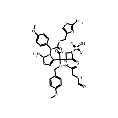 COc1ccc(COC(C(=O)O)(C2=CSC(N)N2N(C(=O)OCc2csc(N)n2)c2ccc(OC)cc2)[C@@]2(NC(=O)CNC=O)CN(S(=O)(=O)O)C2=O)cc1